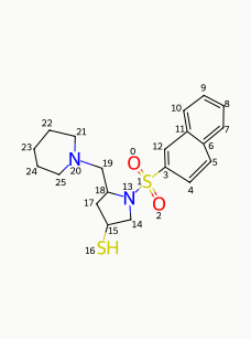 O=S(=O)(c1ccc2ccccc2c1)N1CC(S)CC1CN1CCCCC1